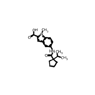 CC(C)C1(C(=O)Nc2ccc3c(c2)cc(C(=O)O)n3C)CCCC1